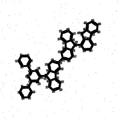 c1ccc(-c2nc(-c3ccccc3)nc(-n3c4ccccc4c4cc(-c5ccc6c(c5)c5ccccc5n6-c5cccc6c5sc5ccccc56)ccc43)n2)cc1